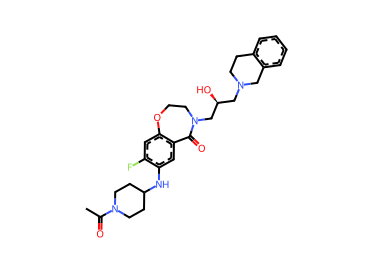 CC(=O)N1CCC(Nc2cc3c(cc2F)OCCN(C[C@@H](O)CN2CCc4ccccc4C2)C3=O)CC1